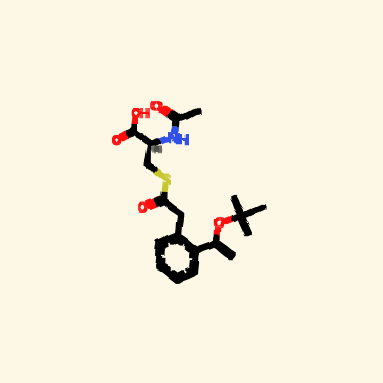 C=C(OC(C)(C)C)c1ccccc1CC(=O)SC[C@H](NC(C)=O)C(=O)O